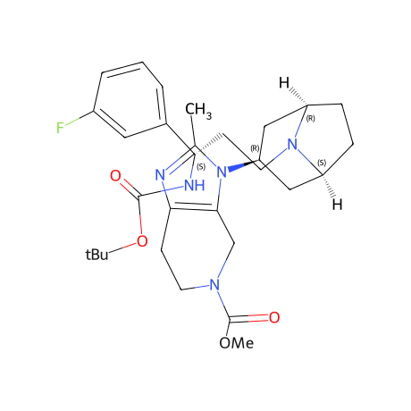 COC(=O)N1CCc2nc(C)n([C@H]3C[C@H]4CC[C@@H](C3)N4CC[C@H](NC(=O)OC(C)(C)C)c3cccc(F)c3)c2C1